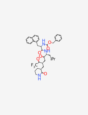 CC(C)C[C@H](NC(=O)C(Cc1cccc2ccccc12)NC(=O)OCc1ccccc1)C(=O)C[C@@H](C[C@@H]1CCCNC1=O)C(=O)C(F)(F)F